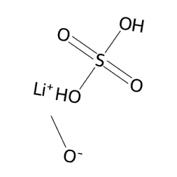 C[O-].O=S(=O)(O)O.[Li+]